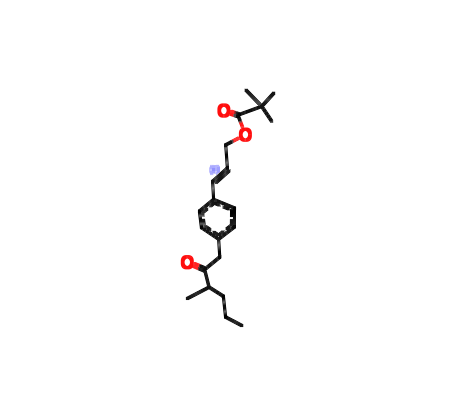 CCCC(C)C(=O)Cc1ccc(/C=C/COC(=O)C(C)(C)C)cc1